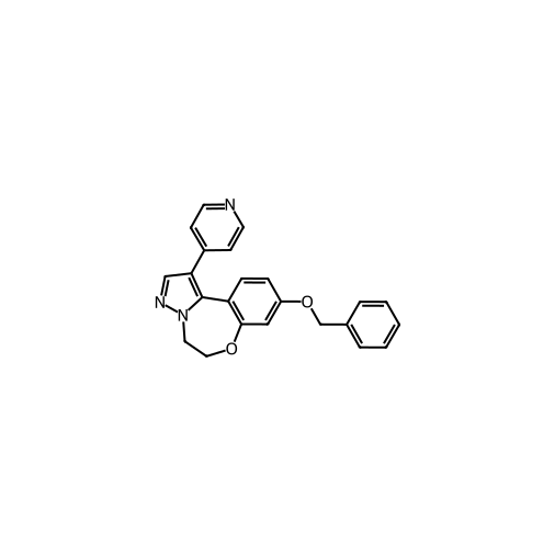 c1ccc(COc2ccc3c(c2)OCCn2ncc(-c4ccncc4)c2-3)cc1